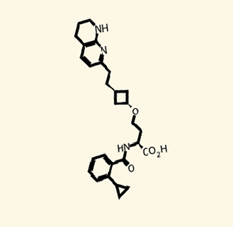 O=C(N[C@@H](CCO[C@H]1C[C@H](CCc2ccc3c(n2)NCCC3)C1)C(=O)O)c1ccccc1C1CC1